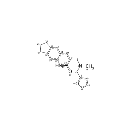 CN(Cc1ccco1)Cc1cc2cc3c(cc2[nH]c1=O)CCC3